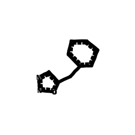 [c]1nnoc1Cc1ccccc1